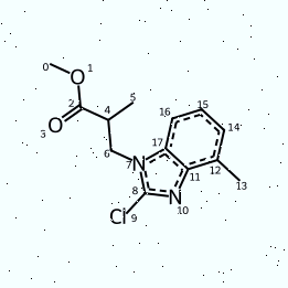 COC(=O)C(C)Cn1c(Cl)nc2c(C)cccc21